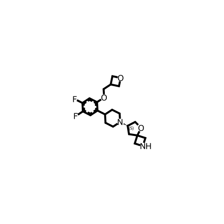 Fc1cc(OCC2COC2)c(C2CCN([C@@H]3COC4(CNC4)C3)CC2)cc1F